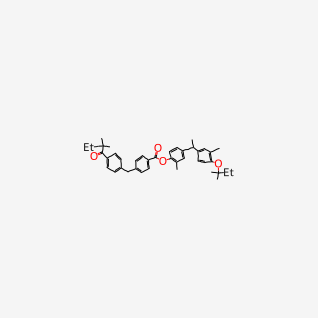 CCC(C)(C)Oc1ccc(C(C)c2ccc(OC(=O)c3ccc(Cc4ccc(C(=O)C(C)(C)CC)cc4)cc3)c(C)c2)cc1C